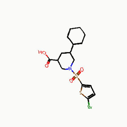 O=C(O)C1CC(C2CCCCC2)CN(S(=O)(=O)c2ccc(Br)s2)C1